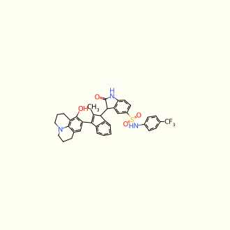 CC1=C(c2cc3c4c(c2O)CCCN4CCC3)c2ccccc2C1C1C(=O)Nc2ccc(S(=O)(=O)Nc3ccc(C(F)(F)F)cc3)cc21